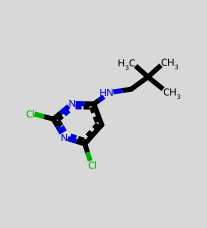 CC(C)(C)CNc1cc(Cl)nc(Cl)n1